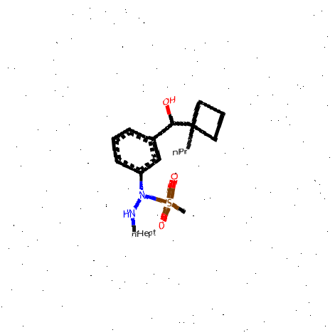 CCCCCCCNN(c1cccc(C(O)C2(CCC)CCC2)c1)S(C)(=O)=O